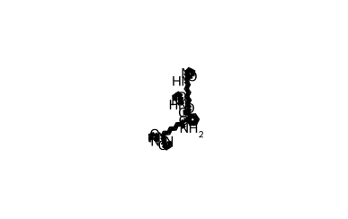 NC(CCCCCN(C1=NCCO1)C1=NCCO1)Oc1ccccc1C(=O)OC(CCCCCNC1=NCCO1)NC1=NCCO1